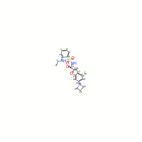 CCNc1ccccc1S(=O)(=O)NC(=O)c1cc2c(F)cc(N3CCC3)cc2o1